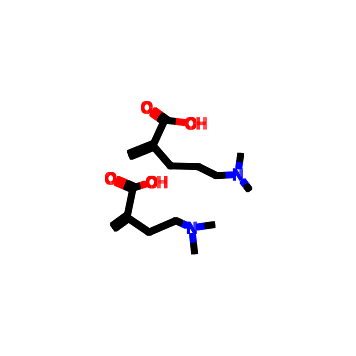 C=C(CCCN(C)C)C(=O)O.C=C(CCN(C)C)C(=O)O